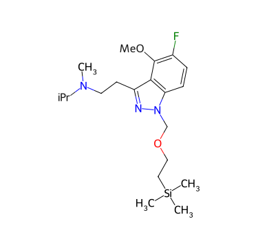 COc1c(F)ccc2c1c(CCN(C)C(C)C)nn2COCC[Si](C)(C)C